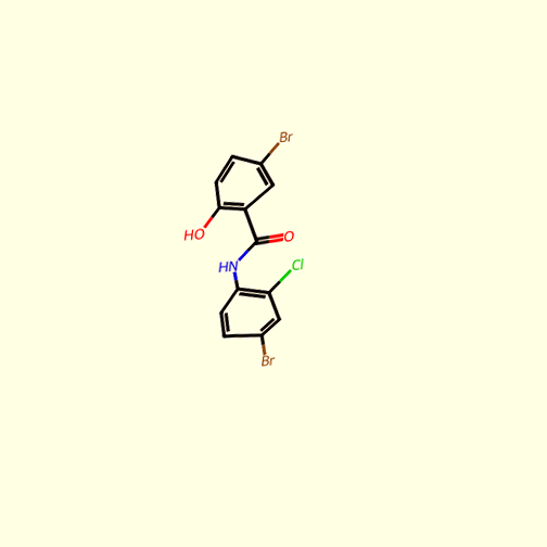 O=C(Nc1ccc(Br)cc1Cl)c1cc(Br)ccc1O